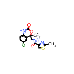 Cc1nc(C(=O)NCC2(C(F)(F)F)OC(=O)Nc3ccc(Cl)cc32)cs1